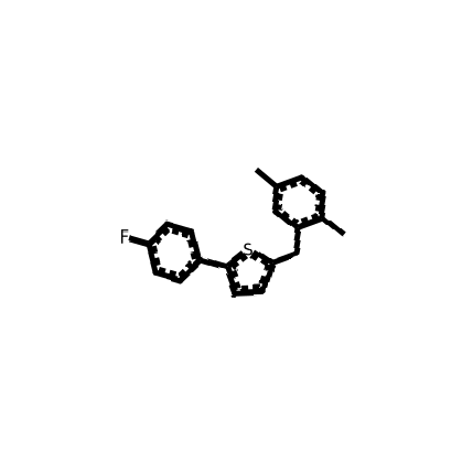 Cc1ccc(C)c(Cc2ccc(-c3ccc(F)cc3)s2)c1